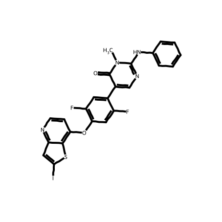 Cn1c(Nc2ccccc2)ncc(-c2cc(F)c(Oc3ccnc4cc(I)sc34)cc2F)c1=O